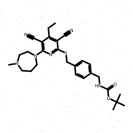 CCc1c(C#N)c(SCc2ccc(CNC(=O)OC(C)(C)C)cc2)nc(N2CCCN(C)CC2)c1C#N